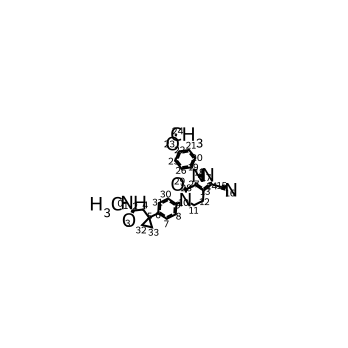 CNC(=O)CC1(c2ccc(N3CCc4c(C#N)nn(-c5ccc(OC)cc5)c4C3=O)cc2)CC1